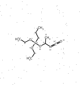 CCC[Si](OCC)(OCC)OC(C)N=C=O